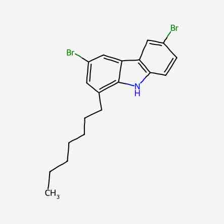 CCCCCCCc1cc(Br)cc2c1[nH]c1ccc(Br)cc12